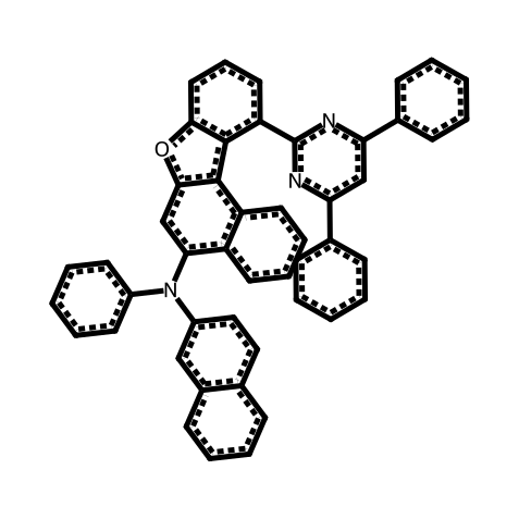 c1ccc(-c2cc(-c3ccccc3)nc(-c3cccc4oc5cc(N(c6ccccc6)c6ccc7ccccc7c6)c6ccccc6c5c34)n2)cc1